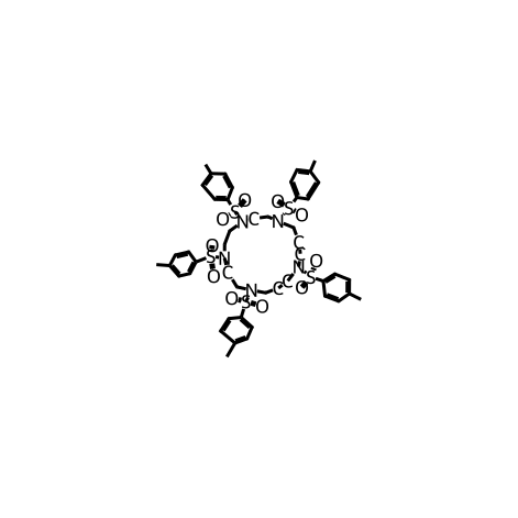 Cc1ccc(S(=O)(=O)N2CCCN(S(=O)(=O)c3ccc(C)cc3)CCN(S(=O)(=O)c3ccc(C)cc3)CCN(S(=O)(=O)c3ccc(C)cc3)CCN(S(=O)(=O)c3ccc(C)cc3)CCC2)cc1